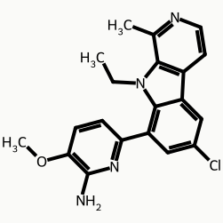 CCn1c2c(-c3ccc(OC)c(N)n3)cc(Cl)cc2c2ccnc(C)c21